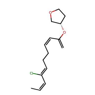 C=C(/C=C\CC/C=C(Cl)/C=C\C)O[C@H]1CCOC1